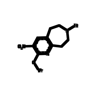 CCN1CCc2cc([N+](=O)[O-])c(OC(C)C)nc2CC1